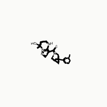 Cc1cccc(C23CC2CN(C(=O)c2cnn4c2NCCC4(C)O)C3)c1